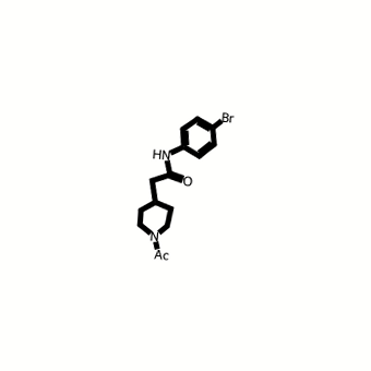 CC(=O)N1CCC(CC(=O)Nc2ccc(Br)cc2)CC1